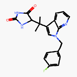 CC(C)(c1cn(Cc2ccc(F)cc2)c2ncccc12)C1NC(=O)NC1=O